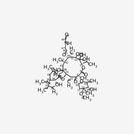 CC[C@H]1OC(=O)[C@H](C)[C@@H](O[C@H]2C[C@@](C)(OC)[C@@H](O)[C@H](C)O2)[C@H](C)[C@@H](O[C@@H]2O[C@H](C)C[C@H](N(C)C(C)C)[C@H]2O)[C@](C)(O)C[C@@H](C)[C@H](OCCNC=O)[C@H](C)[C@@H](O)[C@]1(C)O